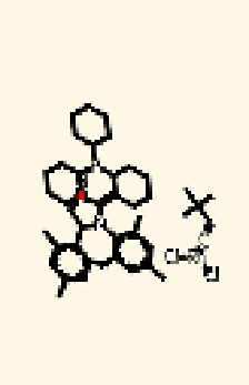 CC(C)(C)C=[C]=[Ru]([Cl])[Cl].Cc1cc(C)c(C2CNC(=C3CCCCC3P(C3CCCCC3)C3CCCCC3)N2c2c(C)cc(C)cc2C)c(C)c1